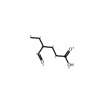 CCC([C]=O)CCC(=O)O